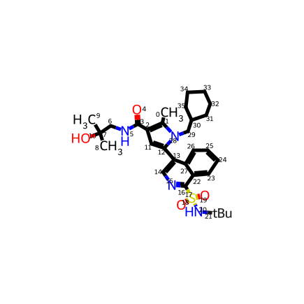 Cc1c(C(=O)NCC(C)(C)O)cc(-c2cnc(S(=O)(=O)NC(C)(C)C)c3ccccc23)n1CC1CCCCC1